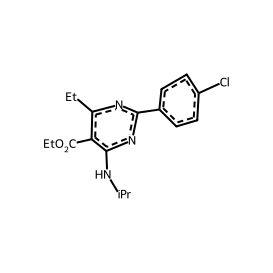 CCOC(=O)c1c(CC)nc(-c2ccc(Cl)cc2)nc1NC(C)C